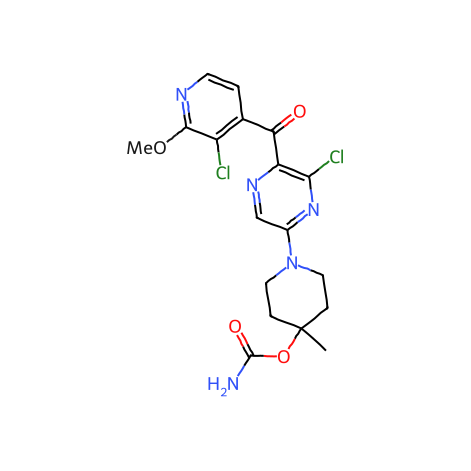 COc1nccc(C(=O)c2ncc(N3CCC(C)(OC(N)=O)CC3)nc2Cl)c1Cl